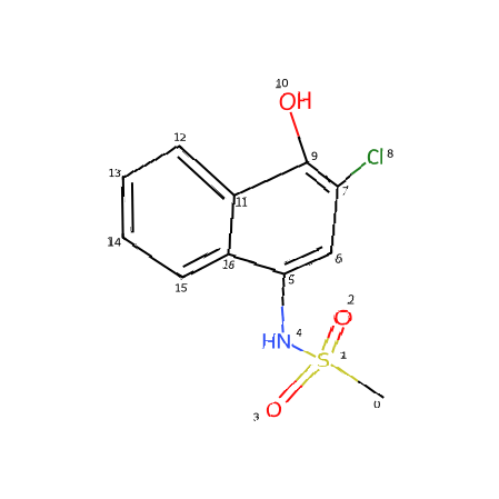 CS(=O)(=O)Nc1cc(Cl)c(O)c2ccccc12